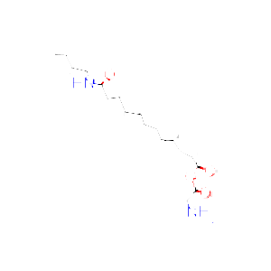 CCCCNC(=O)CCCCCCCCCCC(=O)OC(=O)CN